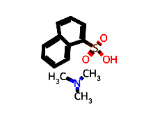 CN(C)C.O=S(=O)(O)c1cccc2ccccc12